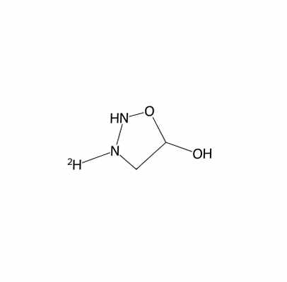 [2H]N1CC(O)ON1